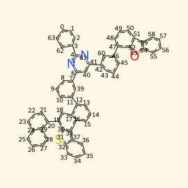 c1ccc(-c2nc(-c3cccc(-c4cccc5c4cc(-c4cccc6ccccc46)c4sc6ccccc6c45)c3)cc(-c3cccc(-c4cccc5c4oc4ccccc45)c3)n2)cc1